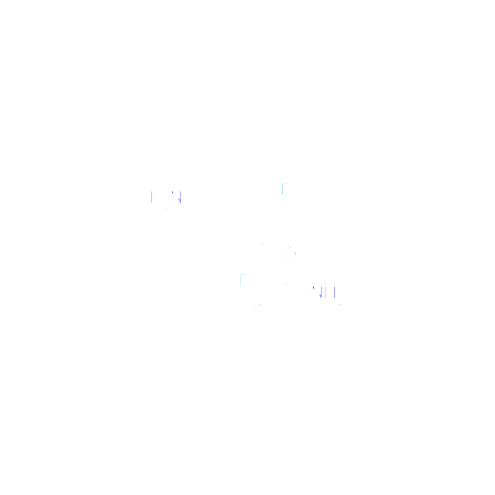 NC(=O)Oc1c(F)cc(N)cc1F